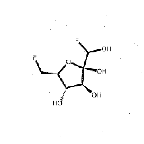 OC(F)[C@@]1(O)O[C@H](CF)[C@@H](O)[C@@H]1O